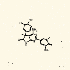 C=C1C(CCCC)=NC(c2nc(N)c3c(n2)NC(=O)C3(C)c2ccc(O)c(Cl)c2)=CN1C